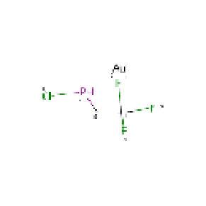 FC(F)(F)CPCl.[Au]